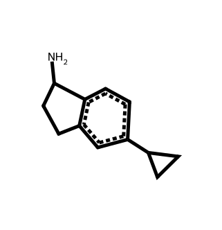 NC1CCc2cc(C3CC3)ccc21